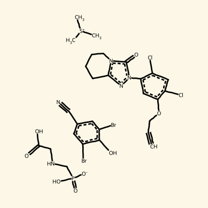 C#CCOc1cc(-n2nc3n(c2=O)CCCC3)c(Cl)cc1Cl.C[S+](C)C.N#Cc1cc(Br)c(O)c(Br)c1.O=C(O)CNCP(=O)([O-])O